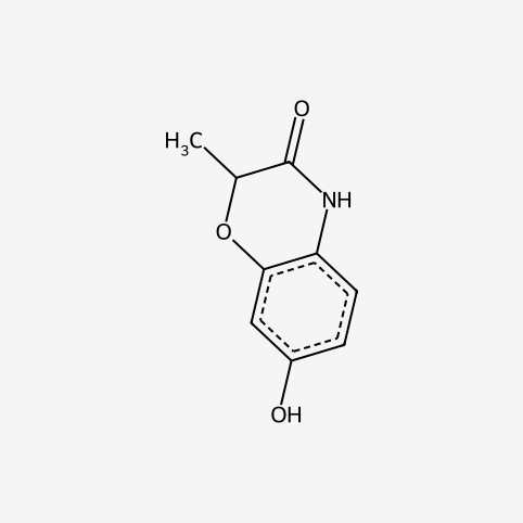 CC1Oc2cc(O)ccc2NC1=O